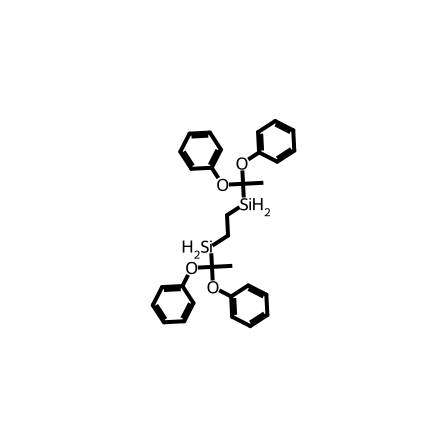 CC(Oc1ccccc1)(Oc1ccccc1)[SiH2]CC[SiH2]C(C)(Oc1ccccc1)Oc1ccccc1